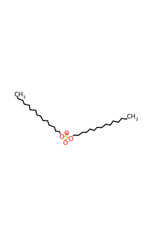 CCCCCCCCCCCCCCCOS(=O)(=O)OCCCCCCCCCCCCCCC